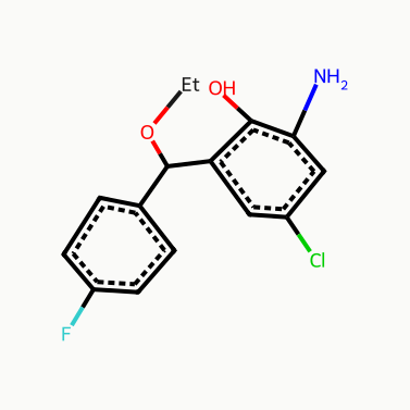 CCOC(c1ccc(F)cc1)c1cc(Cl)cc(N)c1O